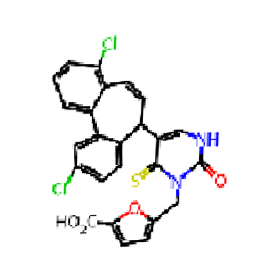 O=C(O)c1ccc(Cn2c(=O)[nH]cc(C3C=Cc4c(Cl)cccc4-c4cc(Cl)ccc43)c2=S)o1